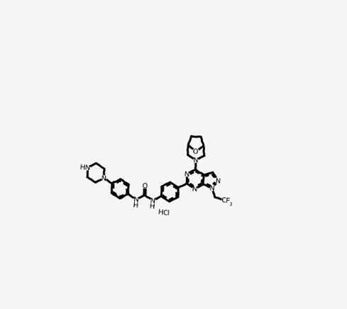 Cl.O=C(Nc1ccc(-c2nc(N3CC4CCC(C3)O4)c3cnn(CC(F)(F)F)c3n2)cc1)Nc1ccc(N2CCNCC2)cc1